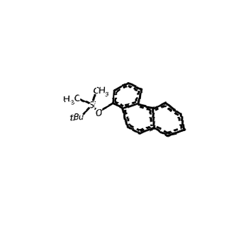 CC(C)(C)[Si](C)(C)Oc1cccc2c1ccc1ccccc12